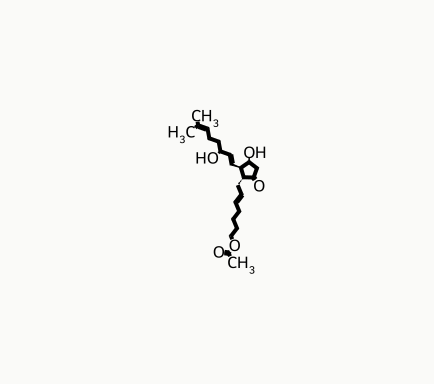 CC(=O)OCCCCC=CC[C@H]1C(=O)C[C@@H](O)[C@@H]1C=C[C@@H](O)CCC=C(C)C